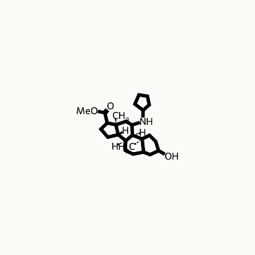 COC(=O)C1CC[C@H]2[C@@H]3CCC4CC(O)CC[C@]4(C)[C@@H]3C(NC3CCCC3)C[C@]12C